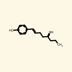 CCCC(=N)CC/C=C/c1ccc(O)cc1